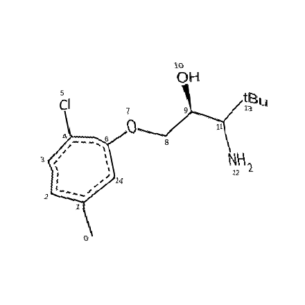 Cc1ccc(Cl)c(OC[C@@H](O)C(N)C(C)(C)C)c1